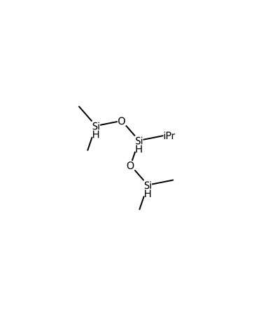 CC(C)[SiH](O[SiH](C)C)O[SiH](C)C